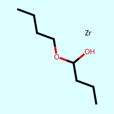 CCCCOC(O)CCC.[Zr]